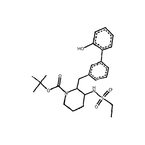 CCS(=O)(=O)NC1CCCN(C(=O)OC(C)(C)C)C1Cc1cccc(-c2ccccc2O)c1